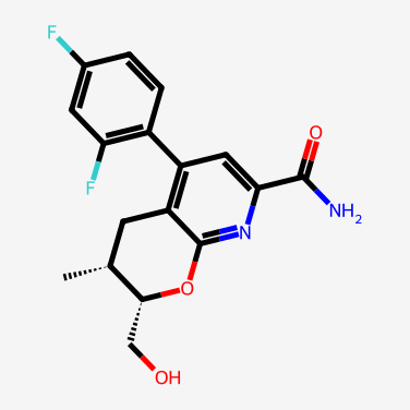 C[C@@H]1Cc2c(-c3ccc(F)cc3F)cc(C(N)=O)nc2O[C@@H]1CO